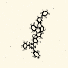 c1ccc(-c2ccc3c(c2)c2ccccc2n3-c2ccccc2-c2cccc3c2oc2cc(-c4nc(-c5ccccc5)nc(-c5ccccc5)n4)ccc23)cc1